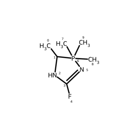 CC1NC(F)=NP1(C)(C)C